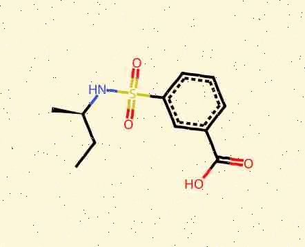 CC[C@@H](C)NS(=O)(=O)c1cccc(C(=O)O)c1